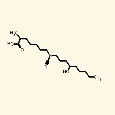 CCCCCC(O)CCCN(C#N)CCCCCC(C)C(=O)O